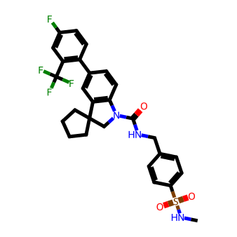 CNS(=O)(=O)c1ccc(CNC(=O)N2CC3(CCCC3)c3cc(-c4ccc(F)cc4C(F)(F)F)ccc32)cc1